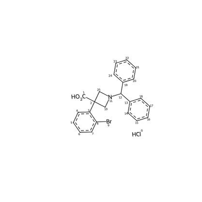 Cl.O=C(O)C1(c2ccccc2Br)CN(C(c2ccccc2)c2ccccc2)C1